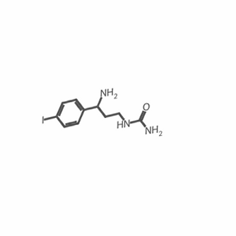 NC(=O)NCCC(N)c1ccc(I)cc1